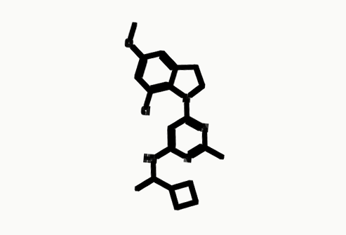 COc1cc(Cl)c2c(c1)CCN2c1cc(NC(C)C2CCC2)nc(C)n1